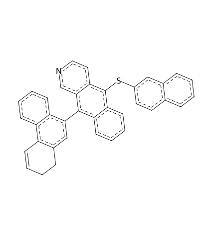 C1=Cc2c(cc(-c3c4ccccc4c(Sc4ccc5ccccc5c4)c4ccncc34)c3ccccc23)CC1